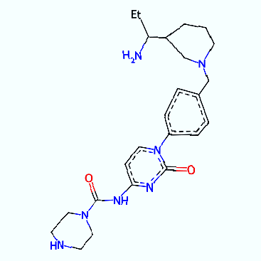 CCC(N)C1CCCN(Cc2ccc(-n3ccc(NC(=O)N4CCNCC4)nc3=O)cc2)C1